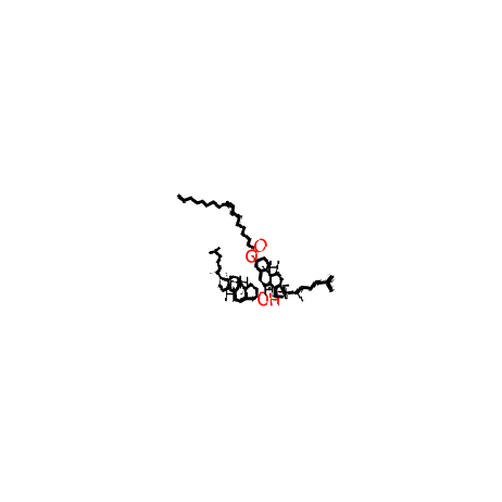 CC(C)CCC[C@@H](C)[C@H]1CC[C@H]2[C@@H]3CC=C4C[C@@H](O)CC[C@]4(C)[C@H]3CC[C@]12C.CCCCCCCC/C=C\CCCCCCCC(=O)O[C@H]1CC[C@@]2(C)C(=CC[C@H]3[C@@H]4CC[C@H]([C@H](C)CCCC(C)C)[C@@]4(C)CC[C@@H]32)C1